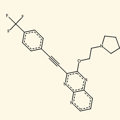 FC(F)(F)c1ccc(C#Cc2nc3ncccc3nc2OCCN2CCCC2)cc1